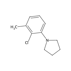 Cc1cccc(N2CCCC2)c1Cl